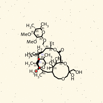 CC[C@H]1OC(=O)C[C@H]2OCC(O)(CO)COCCC(C[C@@H](C)C(=O)/C=C/C(C)=C/[C@@H]1CO[C@@H]1O[C@H](C)[C@@H](C)[C@@H](OC)[C@H]1OC)[C@H](O[C@@H]1O[C@H](C)[C@@H](C)[C@H](N(C)C)[C@H]1C)[C@H]2C